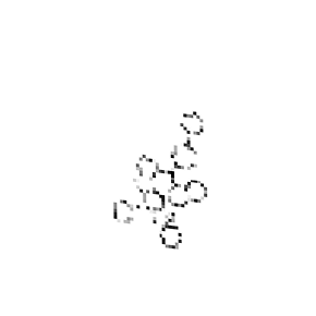 C1=CCCC(C2=CC=CC(N(c3cccc4ccccc34)c3cccc4oc5c(-c6ccccc6)c6c(cc5c34)OC3(C=CC=CC3)C6)C=C2)=C1